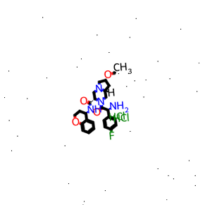 CCO[C@@H]1C[C@@H]2CN(C(=O)[C@@H](N)c3ccc(F)cc3)[C@H](C(=O)N[C@@H]3CCOc4ccccc43)CN2C1.Cl.Cl